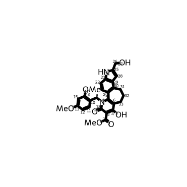 COC(=O)c1c(O)c2c(n(Cc3ccc(OC)cc3OC)c1=O)-c1ccc3[nH]c(CO)cc3c1CCC2